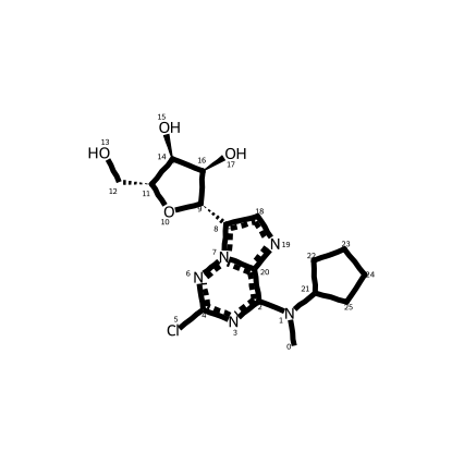 CN(c1nc(Cl)nn2c([C@@H]3O[C@H](CO)[C@@H](O)[C@H]3O)cnc12)C1CCCC1